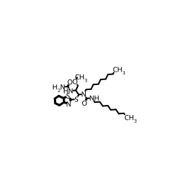 CCCCCCCCCNC(=O)N(CCCCCCCCC)C(Sc1nc2ccccc2s1)C(COC)NC(N)=O